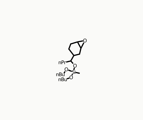 CCCCO[Si](C)(OCCCC)OC(CCC)C1CCC2OC2C1